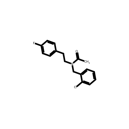 CC(=O)N(CCc1ccc(F)cc1)Cc1ccccc1Cl